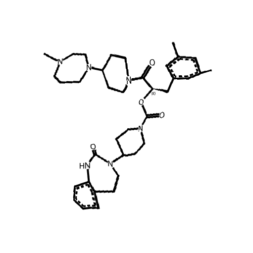 Cc1cc(C)cc(C[C@@H](OC(=O)N2CCC(N3CCc4ccccc4NC3=O)CC2)C(=O)N2CCC(N3CCCN(C)CC3)CC2)c1